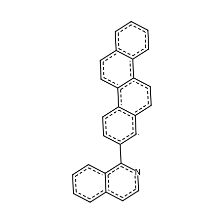 [c]1c(-c2nccc3ccccc23)ccc2c1ccc1c3ccccc3ccc21